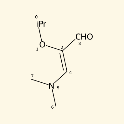 CC(C)O/C(C=O)=C\N(C)C